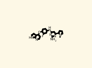 Cn1cccc1-c1cc(Nc2ccc(Oc3ccnc4[nH]ccc34)c(F)c2)nc(N)n1